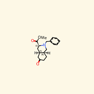 COC(=O)[C@@H]1C[C@H]2CC(=O)CC[C@H]2CN1Cc1ccccc1